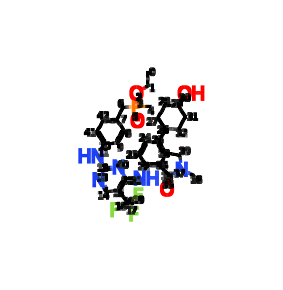 CCOP(C)(=O)Cc1ccc(Nc2ncc(C(F)(F)F)c(Nc3ccc(C4CCC(O)CC4)c4c3C(=O)N(C)C4)n2)cc1